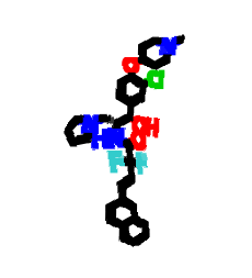 CN1CCC(Oc2ccc([C@@H](O)[C@@H](CN3CCCC3)NC(=O)C(F)(F)CCc3ccc4ccccc4c3)cc2Cl)CC1